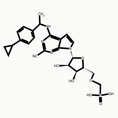 CC(Nc1nc(C#N)nc2c1ccn2[C@@H]1O[C@H](COCP(=O)(O)O)[C@@H](O)[C@H]1O)c1ccc(C2CC2)cc1